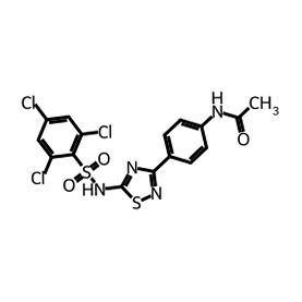 CC(=O)Nc1ccc(-c2nsc(NS(=O)(=O)c3c(Cl)cc(Cl)cc3Cl)n2)cc1